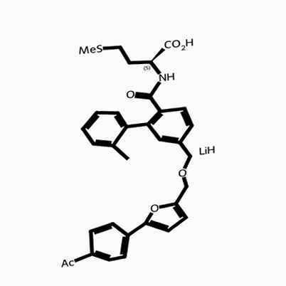 CSCC[C@H](NC(=O)c1ccc(COCc2ccc(-c3ccc(C(C)=O)cc3)o2)cc1-c1ccccc1C)C(=O)O.[LiH]